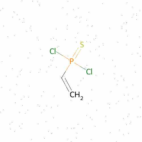 C=CP(=S)(Cl)Cl